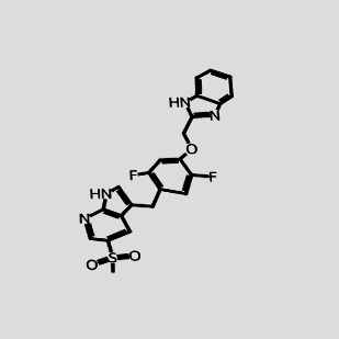 CS(=O)(=O)c1cnc2[nH]cc(Cc3cc(F)c(OCc4nc5ccccc5[nH]4)cc3F)c2c1